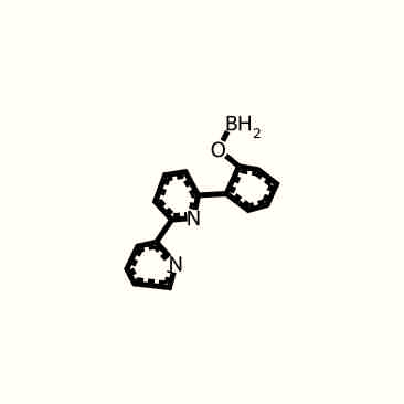 BOc1ccccc1-c1cccc(-c2ccccn2)n1